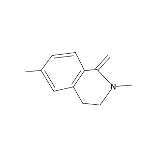 C=C1c2ccc(C)cc2CCN1C